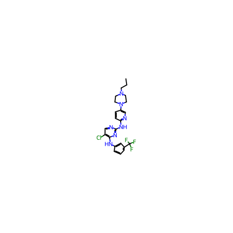 CCCN1CCN(c2ccc(Nc3ncc(Cl)c(Nc4cccc(C(F)(F)F)c4)n3)nc2)CC1